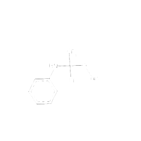 CCCOC(Nc1ccccc1)(C(F)(F)F)C(F)(F)F